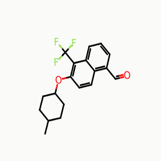 CC1CCC(Oc2ccc3c(C=O)cccc3c2C(F)(F)F)CC1